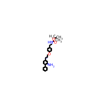 CC(C)(C)OC(=O)NCCc1ccc(OC/C=C/c2ccc(-c3ccccc3)c(N)c2)cc1